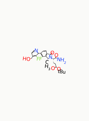 C[C@@H]1c2c(ccc(-c3nccc(CO)c3F)c2F)C(=O)N1[C@@H](CCC(=O)OC(C)(C)C)C(N)=O